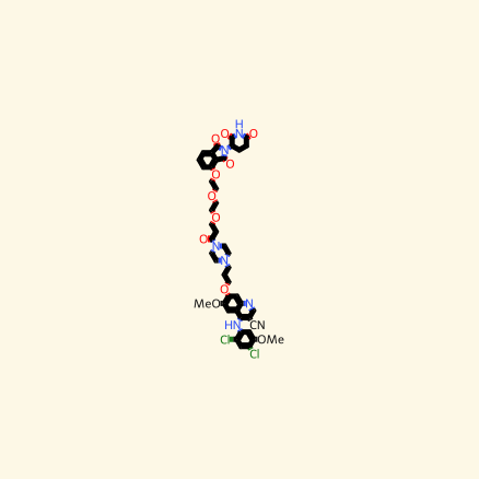 COc1cc(Nc2c(C#N)cnc3cc(OCCCN4CCN(C(=O)CCOCCOCCOc5cccc6c5C(=O)N(C5CCC(=O)NC5=O)C6=O)CC4)c(OC)cc23)c(Cl)cc1Cl